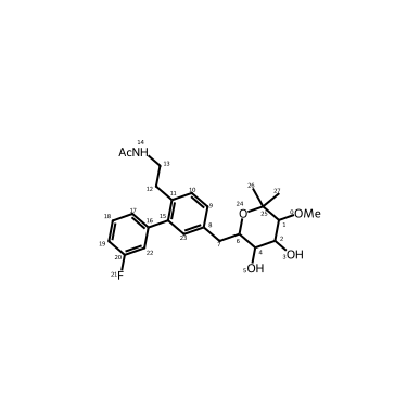 COC1C(O)C(O)C(Cc2ccc(CCNC(C)=O)c(-c3cccc(F)c3)c2)OC1(C)C